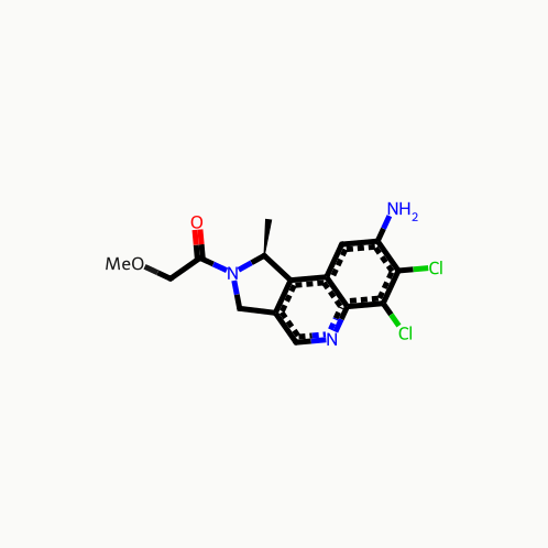 COCC(=O)N1Cc2cnc3c(Cl)c(Cl)c(N)cc3c2[C@@H]1C